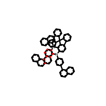 c1ccc2c(c1)-c1ccccc1C21c2ccccc2-c2ccc(N(c3ccc(-c4cccc5ccccc45)cc3)c3cccc4ccccc34)c(N(c3ccc(-c4cccc5ccccc45)cc3)c3cccc4ccccc34)c21